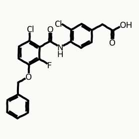 O=C(O)Cc1ccc(NC(=O)c2c(Cl)ccc(OCc3ccccc3)c2F)c(Cl)c1